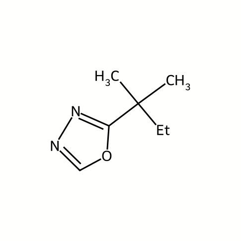 CCC(C)(C)c1nnco1